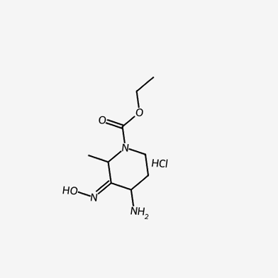 CCOC(=O)N1CCC(N)C(=NO)C1C.Cl